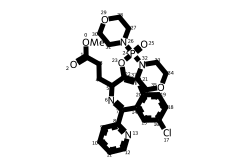 COC(=O)CCC1N=C(c2ccccn2)c2cc(Cl)ccc2N=C1OP(=O)(N1CCOCC1)N1CCOCC1